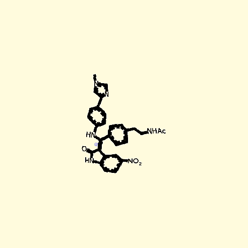 CC(=O)NCCc1ccc(/C(Nc2ccc(-c3cn(C)cn3)cc2)=C2/C(=O)Nc3ccc([N+](=O)[O-])cc32)cc1